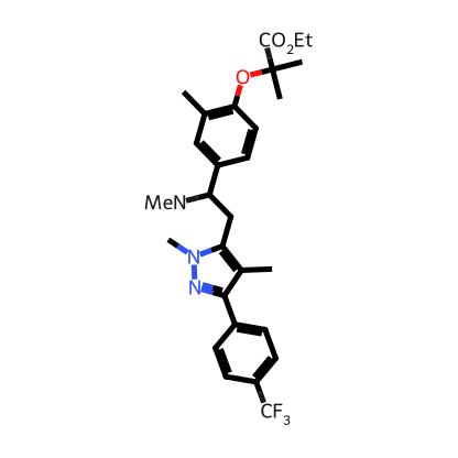 CCOC(=O)C(C)(C)Oc1ccc(C(Cc2c(C)c(-c3ccc(C(F)(F)F)cc3)nn2C)NC)cc1C